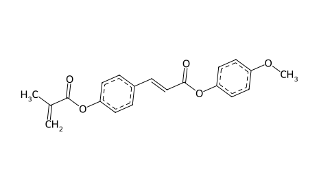 C=C(C)C(=O)Oc1ccc(/C=C/C(=O)Oc2ccc(OC)cc2)cc1